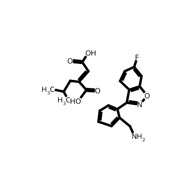 CC(C)C/C(=C\C(=O)O)C(=O)O.NCc1ccccc1-c1noc2cc(F)ccc12